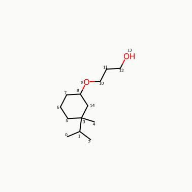 CC(C)C1(C)CCCC(OCCCO)C1